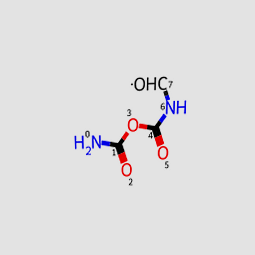 NC(=O)OC(=O)N[C]=O